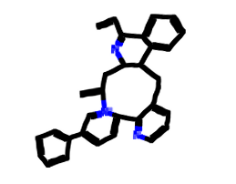 C=CC1=NC2CC(=C)[n+]3cc(-c4ccccc4)ccc3-c3ncccc3CCC2c2ccccc21